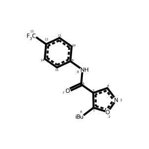 CCC(C)c1oncc1C(=O)Nc1ccc(C(F)(F)F)cc1